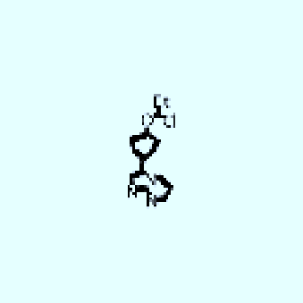 CCC(Cl)Oc1ccc(-c2cnc3ncccn23)cc1